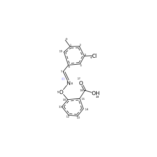 Cc1cc(Cl)cc(/C=N/Oc2ccccc2C(=O)O)c1